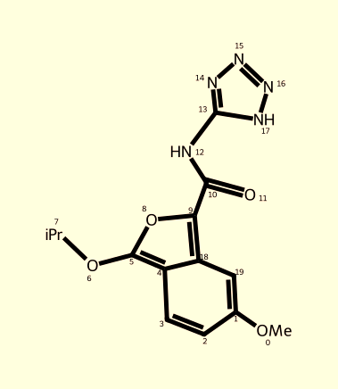 COc1ccc2c(OC(C)C)oc(C(=O)Nc3nnn[nH]3)c2c1